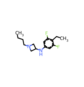 CCCCN1CC(Nc2cc(F)c(CC)c(F)c2)C1